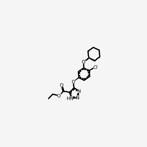 CCOC(=O)c1[nH]nnc1Oc1ccc(Cl)c(OC2CCCCC2)c1